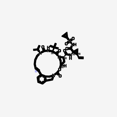 C=C[C@@H]1C[C@]1(NC(=O)[C@@H]1C[C@@H]2CN1C(=O)[C@H](C(C)(C)C)NC(=O)N(C(C)C)CCC/C=C/c1cccc3c1CN(C3)C(=O)O2)C(=O)NS(=O)(=O)C1CC1